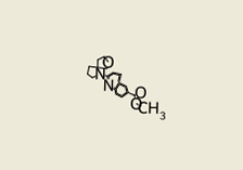 COC(=O)c1ccc2nc(N3CCCC34CCOC4)ccc2c1